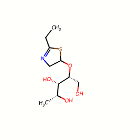 CCC1=NCC(O[C@H](CO)[C@@H](O)[C@@H](C)O)S1